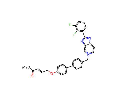 COC(=O)/C=C/COc1ccc(-c2ccc(Cn3ccc4nc(-c5cccc(F)c5F)nc-4c3)cc2)cc1